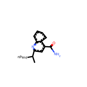 CCCCCC(C)c1cc(C(N)=O)c2ccccc2n1